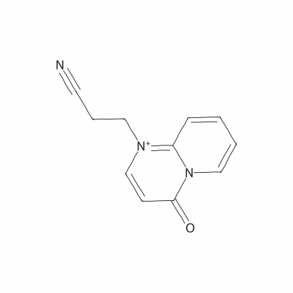 N#CCC[n+]1ccc(=O)n2ccccc21